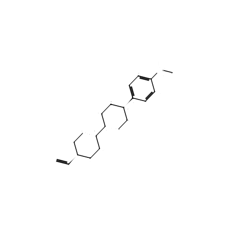 C=C[C@H]1CC[C@H]([C@H]2CC[C@H](c3ccc([SiH2]C)cc3)CC2)CC1